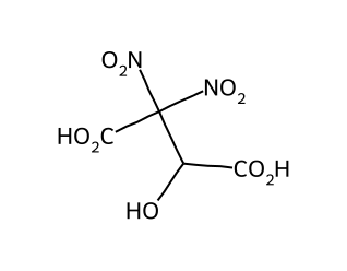 O=C(O)C(O)C(C(=O)O)([N+](=O)[O-])[N+](=O)[O-]